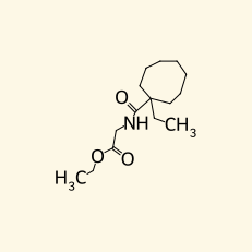 CCOC(=O)CNC(=O)C1(CC)CCCCCCC1